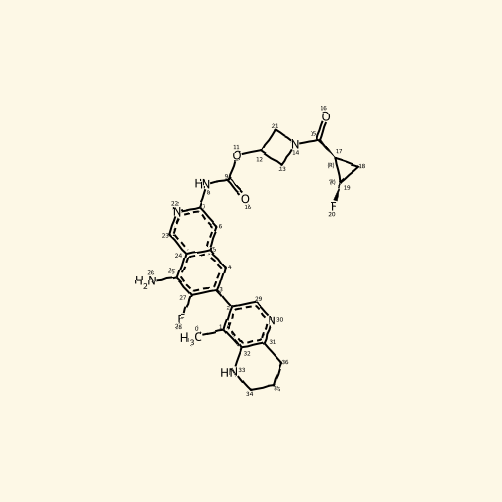 Cc1c(-c2cc3cc(NC(=O)OC4CN(C(=O)[C@H]5C[C@H]5F)C4)ncc3c(N)c2F)cnc2c1NCCC2